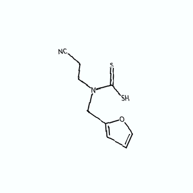 N#CCCN(Cc1ccco1)C(=S)S